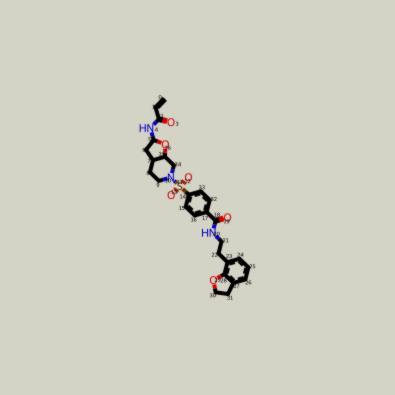 C=CC(=O)NC1CC2CCN(S(=O)(=O)c3ccc(C(=O)NCCc4cccc5c4OCC5)cc3)CC2O1